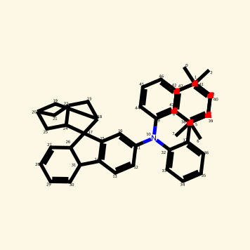 CC1(C)CCC(C)(C)c2c(N(c3ccc4c(c3)C3(C5CC6CC(C5)C3C6)C3C=CC=CC43)c3ccccc3-c3ccccc3)cccc21